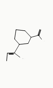 C/C=C(\O)C1CCCC(C(=O)O)C1